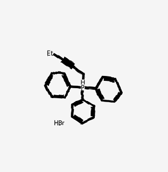 Br.CCC#CC[PH](c1ccccc1)(c1ccccc1)c1ccccc1